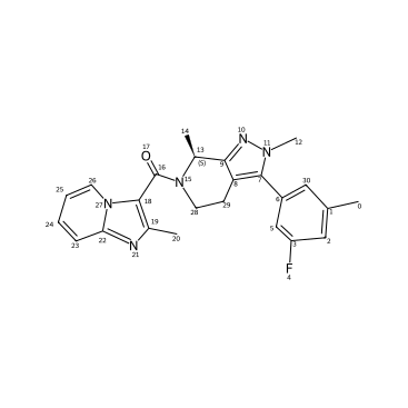 Cc1cc(F)cc(-c2c3c(nn2C)[C@H](C)N(C(=O)c2c(C)nc4ccccn24)CC3)c1